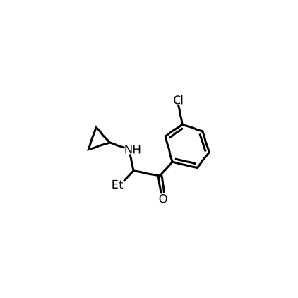 CCC(NC1CC1)C(=O)c1cccc(Cl)c1